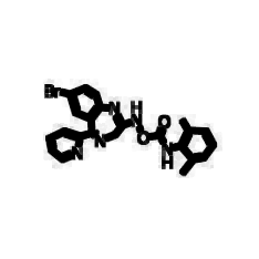 Cc1cccc(C)c1NC(=O)ONC1=Nc2ccc(Br)cc2C(c2ccccn2)=NC1